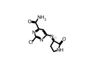 NC(=O)c1cc(/N=C2\CCNC2=O)nc(Cl)n1